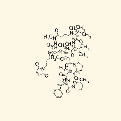 CC[C@H](C)[C@@H]([C@@H](CC(=O)N1CCC[C@H]1[C@H](OC)[C@@H](C)C(=O)N[C@@]1(C(=O)N2CCCCO2)C[C@@H]1c1ccccc1)OC)N(C)C(=O)[C@@H](NC(=O)[C@H](C(C)C)N(C)CCCC(=O)N(C)NC(=O)CCCCCN1C(=O)C=CC1=O)C(C)C